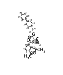 COc1ccnc(C(=O)N[C@@H](C)C(=O)OCCC2CCC(c3ccccc3)CC2)c1OC(C)=O